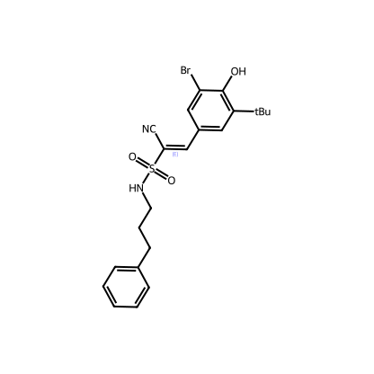 CC(C)(C)c1cc(/C=C(\C#N)S(=O)(=O)NCCCc2ccccc2)cc(Br)c1O